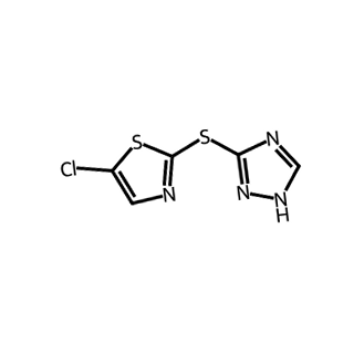 Clc1cnc(Sc2nc[nH]n2)s1